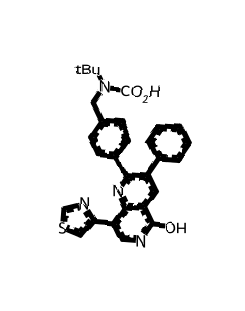 CC(C)(C)N(Cc1ccc(-c2nc3c(-c4cscn4)cnc(O)c3cc2-c2ccccc2)cc1)C(=O)O